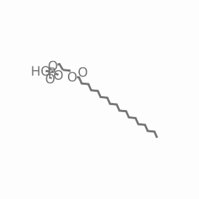 CCCCCCCCCCCCCCCCCC(=O)OCC1COP(=O)(O)O1